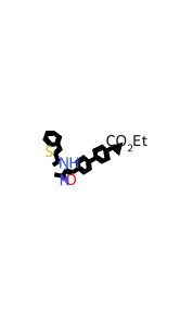 CCOC(=O)C1(c2ccc(-c3ccc(-c4onc(C)c4NC(C)c4cc5ccccc5s4)cc3)cc2)CC1